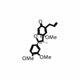 C=CCC1=C[C@]2(OC)C(=CC1=O)O[C@H](c1ccc(OC)c(OC)c1)[C@H]2C